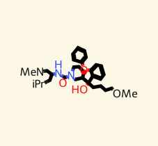 CNCC(CC(C)C)NC(=O)N1CCCC(C(O)(CCCCOC)c2ccccc2Oc2ccccc2)C1